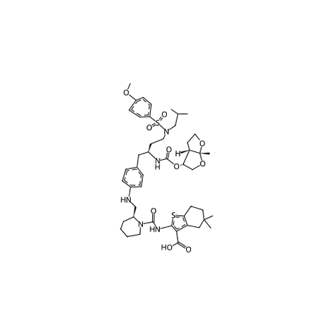 COc1ccc(S(=O)(=O)N(CC[C@H](Cc2ccc(NC[C@@H]3CCCCN3C(=O)Nc3sc4c(c3C(=O)O)CC(C)(C)CC4)cc2)NC(=O)O[C@H]2CO[C@@]3(C)OCC[C@@H]23)CC(C)C)cc1